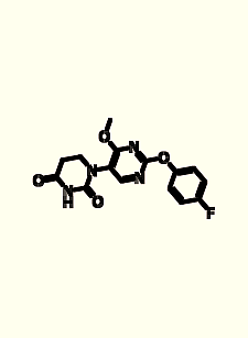 COc1nc(Oc2ccc(F)cc2)ncc1N1CCC(=O)NC1=O